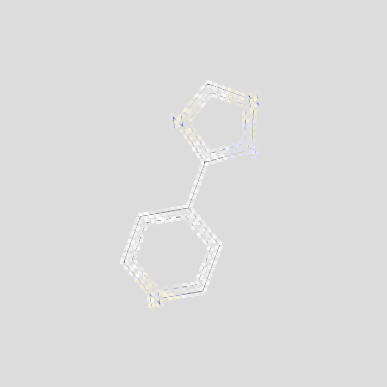 c1cc(-c2ncns2)ccn1